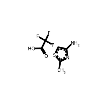 Cc1nc(N)cs1.O=C(O)C(F)(F)F